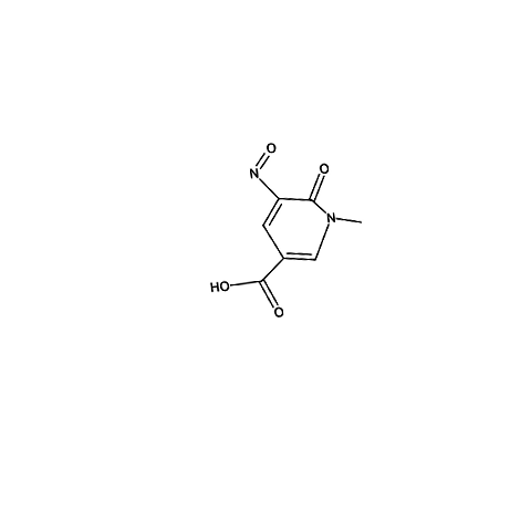 Cn1cc(C(=O)O)cc(N=O)c1=O